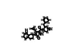 O=C(c1[nH]c(=O)n(-c2ccc3c(c2)NCCC3)c1C1CC1)N1CCNCC1Cc1ccccc1